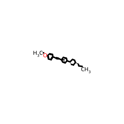 CCCC[C@H]1CC[C@H](C23CCC(C#Cc4ccc(OCC)cc4)(CC2)CC3)CC1